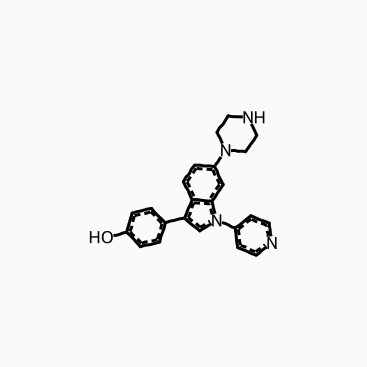 Oc1ccc(-c2cn(-c3ccncc3)c3cc(N4CCNCC4)ccc23)cc1